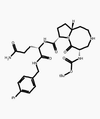 CC(C)c1ccc(CNC(=O)[C@H](CCC(N)=O)NC(=O)[C@@H]2CC[C@@H]3CCNC[C@H](NC(=O)OC(C)(C)C)C(=O)N32)cc1